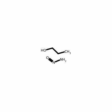 CCCO.NN=O